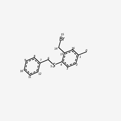 Cc1ccc(SCc2ccccc2)c(CBr)c1